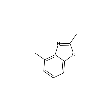 Cc1nc2c(C)cccc2o1